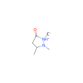 [CH2-][NH+]1C(=O)CC(C)N1C